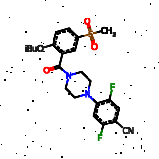 CC(C)COc1ccc(S(C)(=O)=O)cc1C(=O)N1CCN(c2cc(F)c(C#N)cc2F)CC1